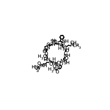 C[C@@H]1OC(=O)[C@@H]2CCCN2C(=O)[C@H](CS)NC(=O)[C@H](Cc2c[nH]c3ccccc23)NC(=O)[C@H](CCCCN(C)C)NC(=O)CNC(=O)[C@H](CS)NC(=O)C[C@@H](C(=O)N2CCC[C@H]2C(N)=O)NC(=O)[C@H](CCCCNC(=O)[C@@H]2CSCN2)NC1=O